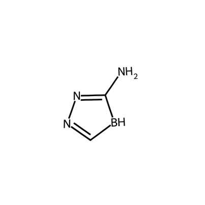 NC1=NN=CB1